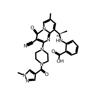 Cc1cc([C@@H](C)Nc2ccccc2C(=O)O)c2nc(N3CCN(C(=O)c4cnn(C)c4)CC3)c(C#N)c(=O)n2c1